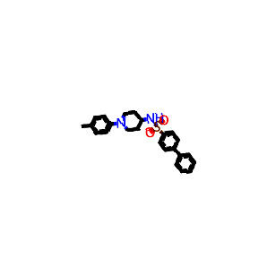 Cc1ccc(N2CCC(NS(=O)(=O)c3ccc(-c4ccccc4)cc3)CC2)cc1